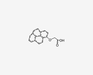 O=C(O)COc1ccc2ccc3cccc4ccc1c2c34